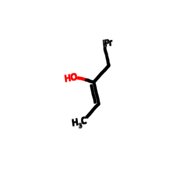 [CH2]C(C)CC(O)=CC